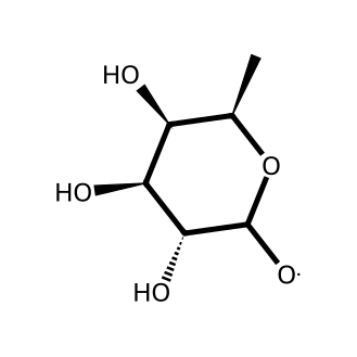 C[C@H]1OC([O])[C@H](O)[C@@H](O)[C@H]1O